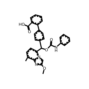 COc1cn2c(C(OC(=O)Nc3ccccc3)c3ccc(-c4ccccc4C(=O)O)cc3)ccc(C)c2n1